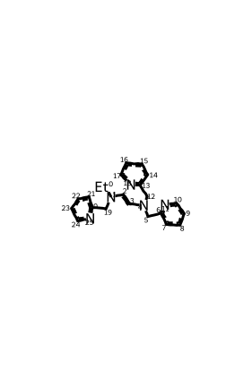 CCN(/C=C/N(Cc1ccccn1)Cc1ccccn1)Cc1ccccn1